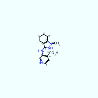 CN1NC(Nc2cnccc2C(=O)O)C2=C1CCCC2